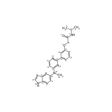 CC(C)NC(=O)COc1cccc(-c2nccc(N(C)c3ccc4[nH]ccc4c3)n2)c1